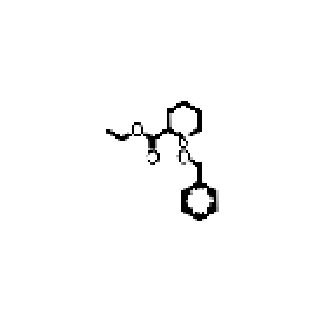 CCOC(=O)C1CCCCN1OCc1ccccc1